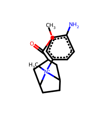 COC(=O)C1CC2CCC(C1)[N+]2(C)c1ccc(N)cc1